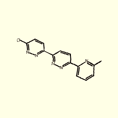 Cc1cccc(-c2ccc(-c3ccc(Cl)nn3)nn2)n1